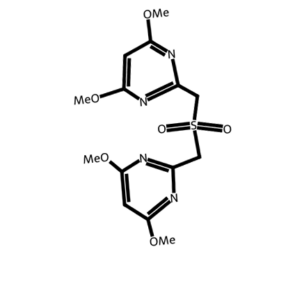 COc1cc(OC)nc(CS(=O)(=O)Cc2nc(OC)cc(OC)n2)n1